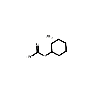 CCCC(=O)OC1CCCCC1.[AlH3]